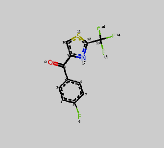 O=C(c1ccc(F)cc1)c1csc(C(F)(F)F)n1